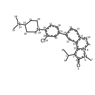 CC(C)c1c(=O)n(C)n2cnc3ccc(-c4ccc(N5CCC(N(C)C)CC5)c(Cl)c4)cc3c12